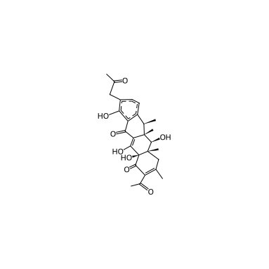 CC(=O)Cc1ccc2c(c1O)C(=O)C1=C(O)[C@@]3(O)C(=O)C(C(C)=O)=C(C)C[C@@]3(C)[C@H](O)[C@@]1(C)[C@@H]2C